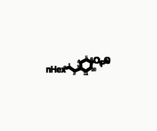 CCCCCCCCC1CCC(OP=O)CC1